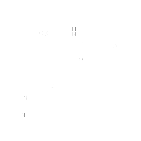 [N-]=[N+]=CC(=O)CCC(NC(=O)[C@@H]1CCO1)C(=O)O